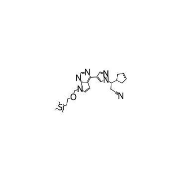 C[Si](C)(C)CCOCn1ccc2c(-c3cnn(C(CC#N)C4CC=CC4)c3)ncnc21